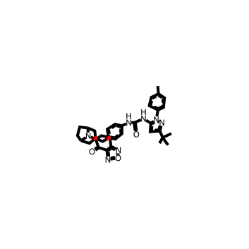 Cc1ccc(-n2nc(C(C)(C)C)cc2NC(=O)Nc2ccc(CC3CC4CCC(C3)N4C3CCc4nonc4C3=O)cc2)cc1